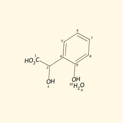 O.O=C(O)C(O)c1ccccc1O